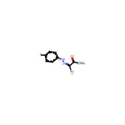 COC(=O)C(=NNc1ccc(C)cc1)C(C)=O